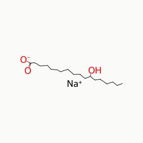 CCCCCCC(O)CCCCCCCCCCC(=O)[O-].[Na+]